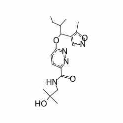 CCC(C)C(Oc1ccc(C(=O)NCC(C)(C)O)nn1)c1cnoc1C